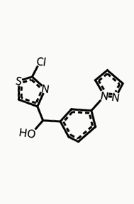 OC(c1cccc(-n2cccn2)c1)c1csc(Cl)n1